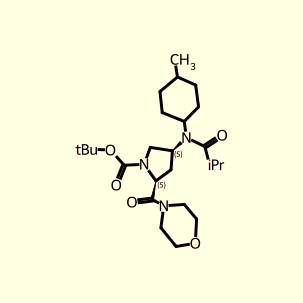 CC1CCC(N(C(=O)C(C)C)[C@H]2C[C@@H](C(=O)N3CCOCC3)N(C(=O)OC(C)(C)C)C2)CC1